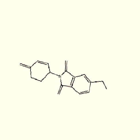 C=C1C=CC(n2c(=C)c3ccc(CC)cc3c2=C)CC1